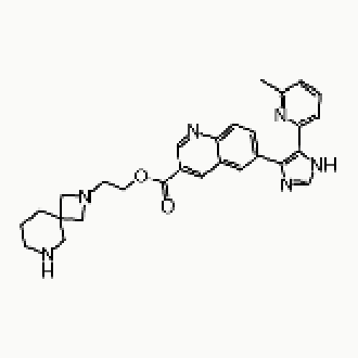 Cc1cccc(-c2[nH]cnc2-c2ccc3ncc(C(=O)OCCN4CC5(CCCNC5)C4)cc3c2)n1